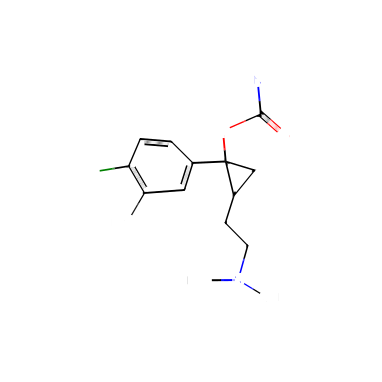 CN(C)CCC1CC1(OC(N)=O)c1ccc(F)c(C(F)(F)F)c1